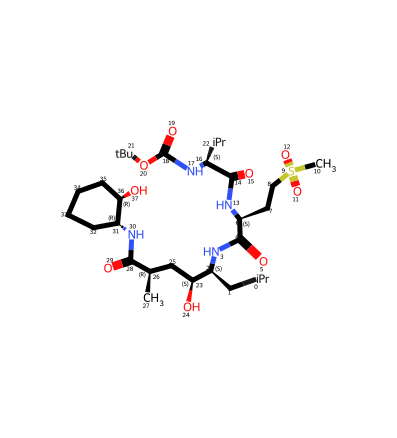 CC(C)C[C@H](NC(=O)[C@H](CCS(C)(=O)=O)NC(=O)[C@@H](NC(=O)OC(C)(C)C)C(C)C)[C@@H](O)C[C@@H](C)C(=O)N[C@@H]1CCCC[C@H]1O